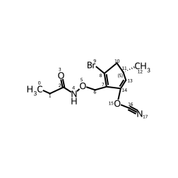 CCC(=O)NOCC1=C(Br)C[C@H](C)C=C1OC#N